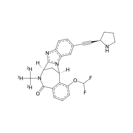 [2H]C([2H])([2H])N1C(=O)c2cccc(OC(F)F)c2[C@H]2C[C@@H]1c1nc3ccc(C#C[C@H]4CCCN4)cc3n12